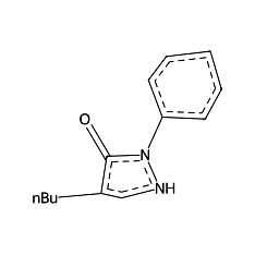 CCCCc1c[nH]n(-c2ccccc2)c1=O